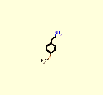 NCCc1ccc(SC(F)(F)F)cc1